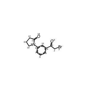 O=C(CBr)c1cccc(N2CCCC2=O)c1